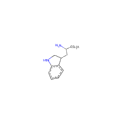 NC(CC1CNc2ccccc21)C(=O)O